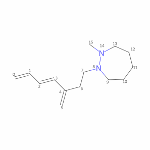 C=CC=CC(=C)CCN1CCCCCN1C